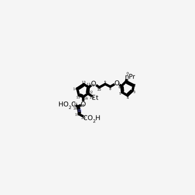 CCCc1ccccc1OCCCOc1cccc(O/C(=C\C(=O)O)C(=O)O)c1CC